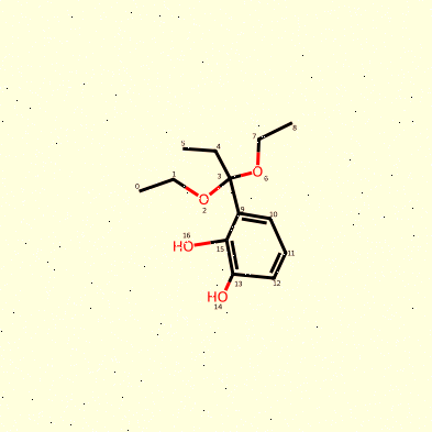 CCOC(CC)(OCC)c1cccc(O)c1O